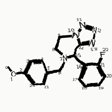 COc1ccc(CN2CCn3nnnc3C2c2ccccc2F)cc1